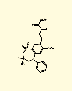 CCCCC1(C)CN(c2ccccc2)c2cc(SC)c(OCC(O)C(=O)OC)cc2S(=O)(=O)C1